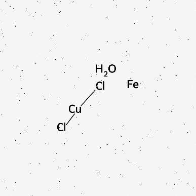 O.[Cl][Cu][Cl].[Fe]